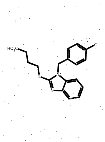 O=C(O)CCCSc1nc2ccccc2n1Cc1ccc(Cl)cc1